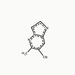 Cc1nn2ccnc2cc1C#N